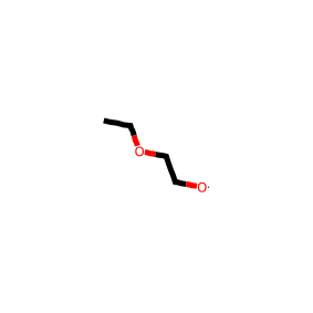 CCOCC[O]